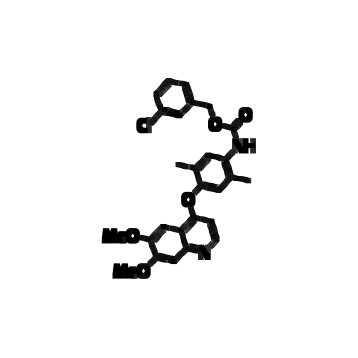 COc1cc2nccc(Oc3cc(C)c(NC(=O)OCc4cccc(Cl)c4)cc3C)c2cc1OC